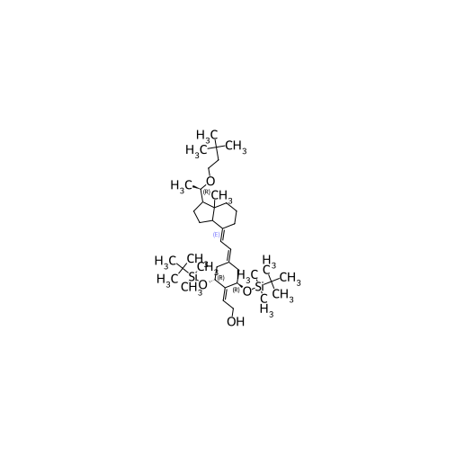 C[C@@H](OCCC(C)(C)C)C1CCC2/C(=C/C=C3C[C@@H](O[Si](C)(C)C(C)(C)C)C(=CCO)[C@H](O[Si](C)(C)C(C)(C)C)C3)CCCC21C